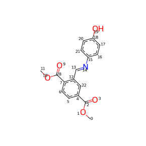 COC(=O)c1ccc(C(=O)OC)c(C=Nc2ccc(O)cc2)c1